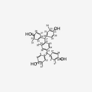 Cc1cc(C(c2ccc(O)c(C)c2)c2ccc(C(c3ccc(O)c(C)c3)c3ccc(O)c(C)c3)c(C)c2)ccc1O